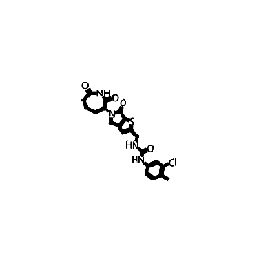 Cc1ccc(NC(=O)NCc2cc3c(s2)C(=O)N([C@H]2CCCC(=O)NC2=O)C3)cc1Cl